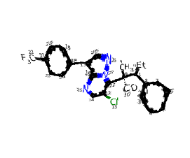 CCC(c1ccccc1)[C@@](C)(C(=O)O)c1c(Cl)cnc2c(-c3ccc(C(F)(F)F)cc3)cnn12